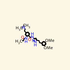 C=CC(=O)Nc1cc(CCN(C)C)ccc1C(=O)Nc1cc(CCc2cc(OC)cc(OC)c2)[nH]n1